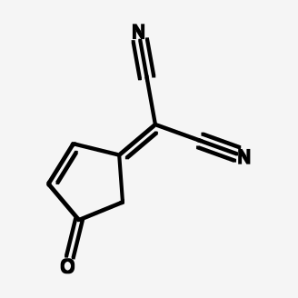 N#CC(C#N)=C1C=CC(=O)C1